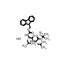 CC(C)C[C@H](NC(=O)OCC1c2ccccc2-c2ccccc21)C(=O)N[C@@H](CC(C)C)C(=O)OC(C)(C)C.Cl